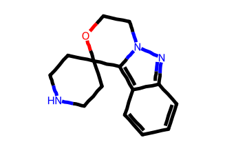 c1ccc2c3n(nc2c1)CCOC31CCNCC1